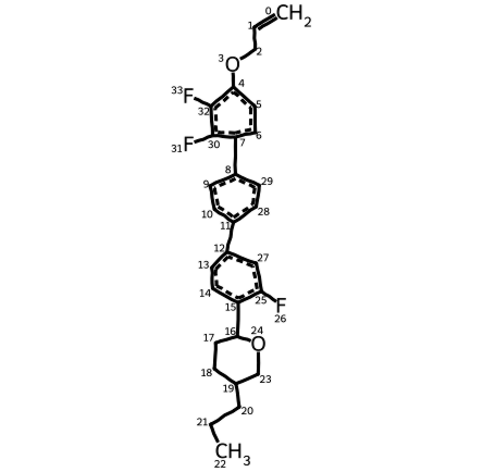 C=CCOc1ccc(-c2ccc(-c3ccc(C4CCC(CCC)CO4)c(F)c3)cc2)c(F)c1F